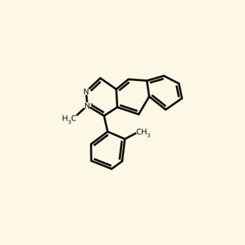 Cc1ccccc1-c1c2cc3ccccc3cc2cn[n+]1C